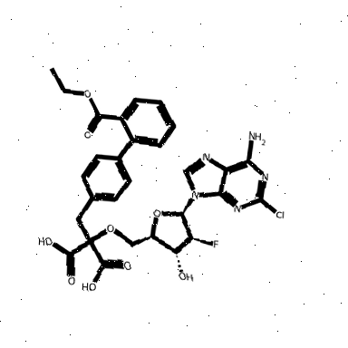 CCOC(=O)c1ccccc1-c1ccc(CC(OC[C@H]2O[C@@H](n3cnc4c(N)nc(Cl)nc43)[C@@H](F)[C@@H]2O)(C(=O)O)C(=O)O)cc1